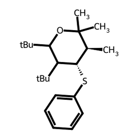 C[C@H]1[C@H](Sc2ccccc2)C(C(C)(C)C)C(C(C)(C)C)OC1(C)C